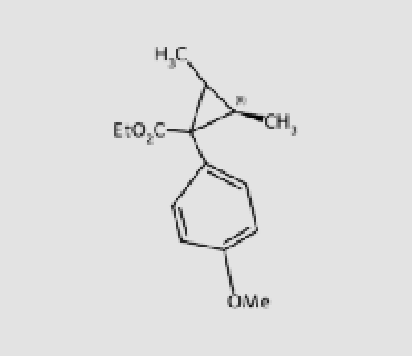 CCOC(=O)C1(c2ccc(OC)cc2)C(C)[C@H]1C